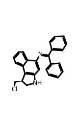 ClC[C@@H]1CNc2cc(N=C(c3ccccc3)c3ccccc3)c3ccccc3c21